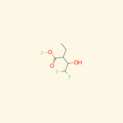 CCC(C(=O)OF)C(O)C(F)F